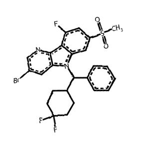 CS(=O)(=O)c1cc(F)c2c3ncc(Br)cc3n(C(c3ccccc3)C3CCC(F)(F)CC3)c2c1